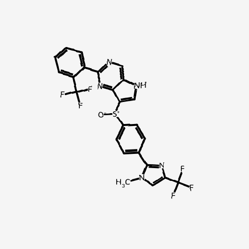 Cn1cc(C(F)(F)F)nc1-c1ccc([S+]([O-])c2c[nH]c3cnc(-c4ccccc4C(F)(F)F)nc23)cc1